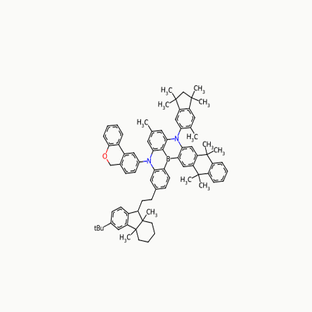 Cc1cc2c3c(c1)N(c1cc4c(cc1C)C(C)(C)CC4(C)C)c1cc4c(cc1B3c1ccc(CCC3c5ccc(C(C)(C)C)cc5C5(C)CCCCC35C)cc1N2c1ccc2c(c1)-c1ccccc1OC2)C(C)(C)c1ccccc1C4(C)C